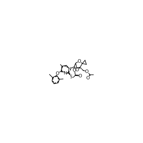 CC(=O)OC[C@]12O[C@@H](n3cc(C)c(Oc4c(C)cccc4C)nc3=S)C(OC13CC3)C2OC(C)=O